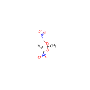 CC(C)(OC[N+](=O)[O-])OC[N+](=O)[O-]